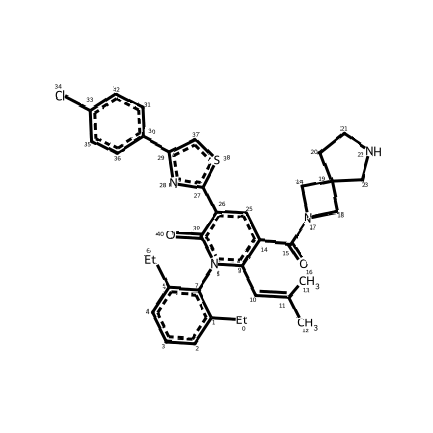 CCc1cccc(CC)c1-n1c(C=C(C)C)c(C(=O)N2CC3(CCNC3)C2)cc(-c2nc(-c3ccc(Cl)cc3)cs2)c1=O